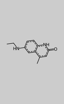 CCNc1ccc2[nH]c(=O)cc(C)c2c1